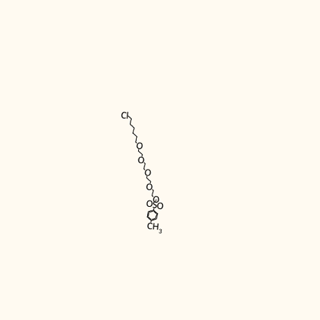 Cc1ccc(S(=O)(=O)OCCOCCOCCOCCOCCCCCCCl)cc1